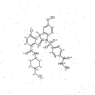 CCOc1ccc2c(c1)C(C)(c1cc(C(=O)NC3CCN(CC(F)(F)F)CC3)ccc1Cl)C(=O)N2S(=O)(=O)c1ccc(C(=O)NC(C)(C)C)cc1